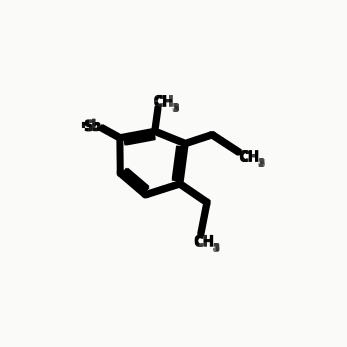 CCc1cc[c]([Sb])c(C)c1CC